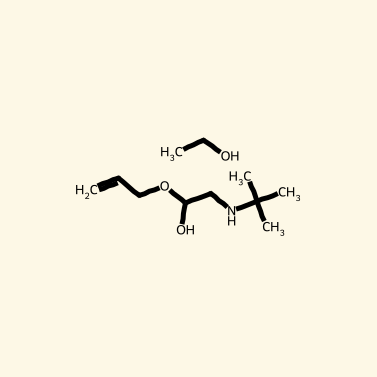 C=CCOC(O)CNC(C)(C)C.CCO